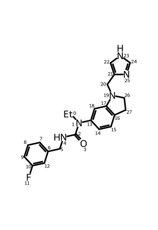 CCN(C(=O)NCc1cccc(F)c1)c1ccc2c(c1)N(Cc1c[nH]cn1)CC2